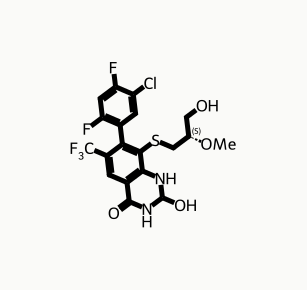 CO[C@@H](CO)CSc1c2c(cc(C(F)(F)F)c1-c1cc(Cl)c(F)cc1F)C(=O)NC(O)N2